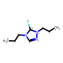 CCCN1C=NN(CCC)C1F